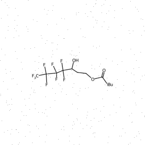 CCC(C)C(=O)OCCC(O)C(F)(F)C(F)(F)C(F)(F)C(F)(F)F